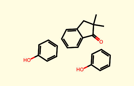 CC1(C)Cc2ccccc2C1=O.Oc1ccccc1.Oc1ccccc1